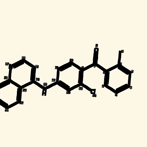 Cc1ccccc1C(=O)c1ccc(Nc2ccnc3ccccc23)cc1Cl